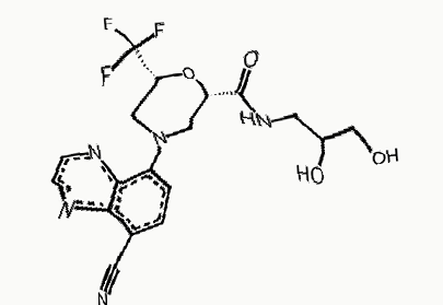 N#Cc1ccc(N2C[C@@H](C(=O)NCC(O)CO)O[C@@H](C(F)(F)F)C2)c2nccnc12